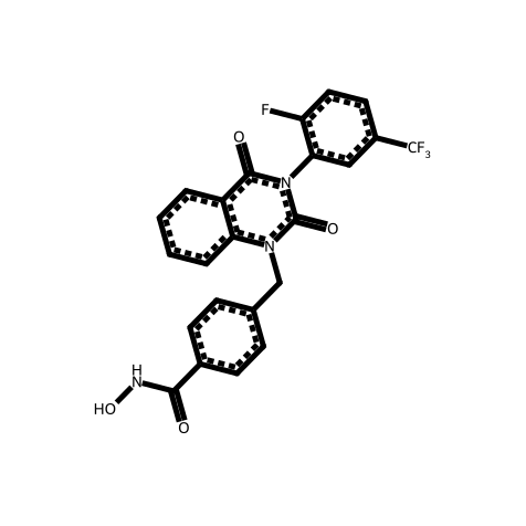 O=C(NO)c1ccc(Cn2c(=O)n(-c3cc(C(F)(F)F)ccc3F)c(=O)c3ccccc32)cc1